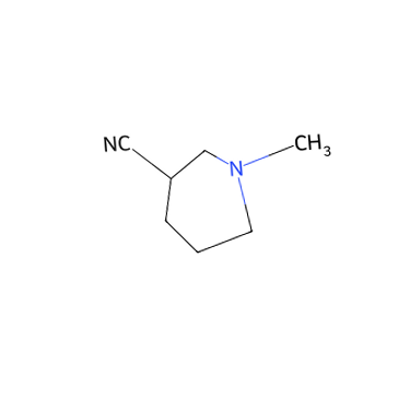 CN1CCCC(C#N)C1